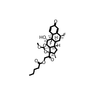 CCCCC(=O)OCC(=O)[C@@]1(OC(=O)OC)[C@H](C)C[C@H]2[C@@H]3C[C@H](F)C4=CC(=O)C=C[C@]4(C)[C@@]3(F)[C@@H](O)C[C@@]21C